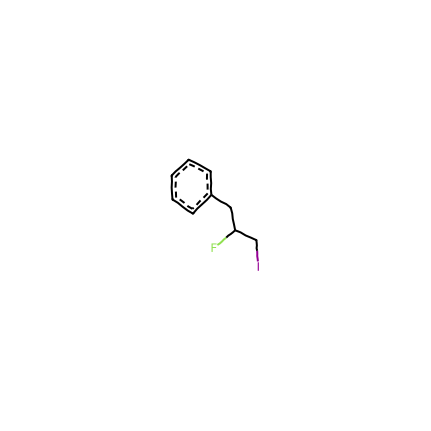 FC(CI)Cc1ccccc1